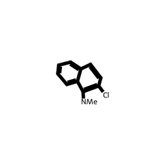 CNc1c(Cl)ccc2ccccc12